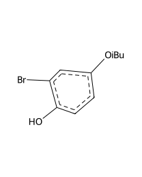 CC(C)COc1ccc(O)c(Br)c1